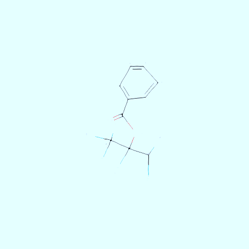 O=C(OC(F)(C(F)F)C(F)(F)F)c1ccccc1